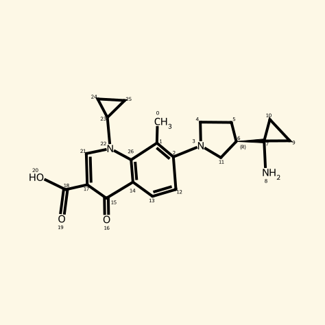 Cc1c(N2CC[C@@H](C3(N)CC3)C2)ccc2c(=O)c(C(=O)O)cn(C3CC3)c12